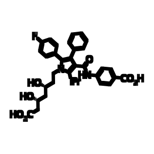 CC(C)c1c(C(=O)Nc2ccc(C(=O)O)cc2)c(-c2ccccc2)c(-c2ccc(F)cc2)n1CC[C@@H](O)C[C@@H](O)CC(=O)O